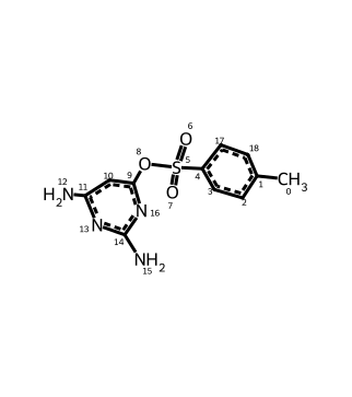 Cc1ccc(S(=O)(=O)Oc2cc(N)nc(N)n2)cc1